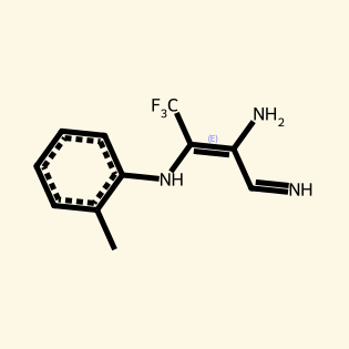 Cc1ccccc1N/C(=C(/N)C=N)C(F)(F)F